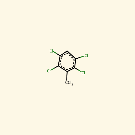 Clc1cc(Cl)c(Cl)c(C(Cl)(Cl)Cl)c1Cl